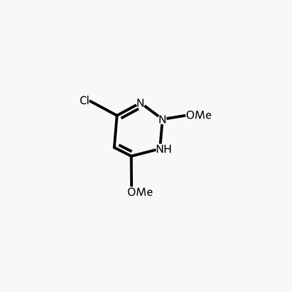 COC1=CC(Cl)=NN(OC)N1